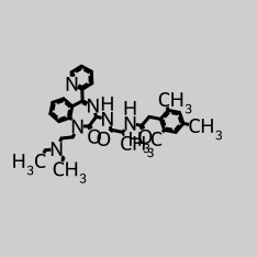 CCN(CC)CCN1C(=O)C(NC(=O)[C@H](C)NC(=O)Cc2c(C)cc(C)cc2C)N=C(c2ccccn2)c2ccccc21